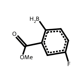 Bc1ccc(F)cc1C(=O)OC